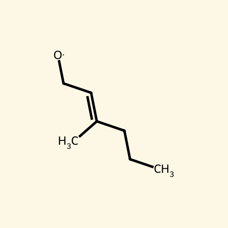 CCC/C(C)=C/C[O]